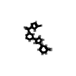 Cc1ccc(C(=O)N2CCCC(c3nnn(-c4cccc(Cl)c4)n3)C2)s1